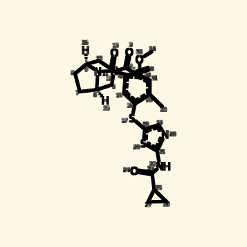 C=CC(=O)N1C[C@H]2CC[C@@H](C1)N2C(=O)c1cc(Sc2cnc(NC(=O)C3CC3)s2)c(C)cc1OC